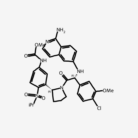 COC(=O)Nc1ccc(S(=O)(=O)C(C)C)c([C@H]2CCCN2C(=O)[C@H](Nc2ccc3c(N)nccc3c2)c2ccc(Cl)c(OC)c2)c1